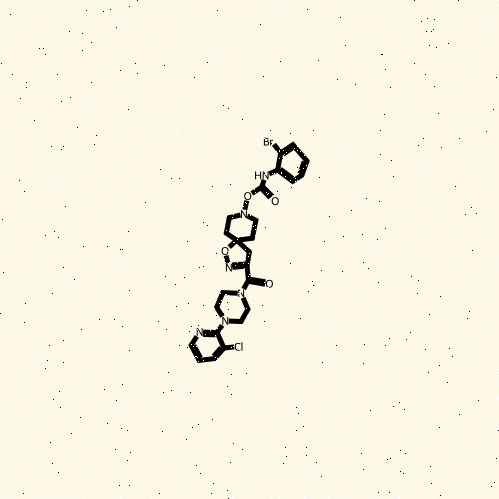 O=C(Nc1ccccc1Br)ON1CCC2(CC1)CC(C(=O)N1CCN(c3ncccc3Cl)CC1)=NO2